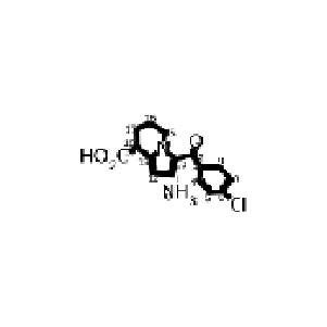 N.O=C(c1ccc(Cl)cc1)c1ccc2n1CCCC2C(=O)O